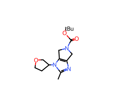 Cc1nc2c(n1C1CCOC1)CN(C(=O)OC(C)(C)C)C2